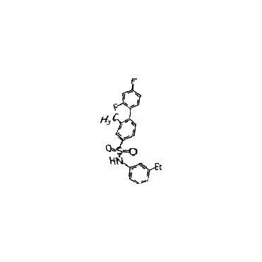 CCc1cccc(NS(=O)(=O)c2ccc(-c3ccc(F)cc3F)c(C)c2)c1